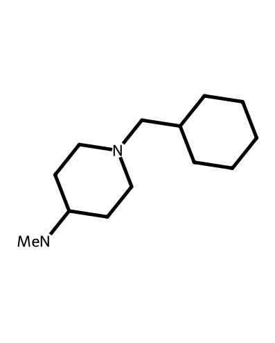 CNC1CCN(CC2CCCCC2)CC1